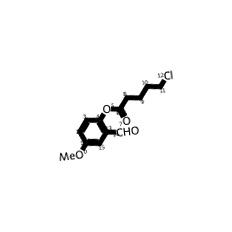 COc1ccc(OC(=O)CCCCCl)c(C=O)c1